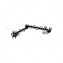 O=C(CCN1C(=O)C=CC1=O)NCCOCCOCCOCCOCc1cn(CCOCCOCCC(=O)Oc2c(F)c(F)c(F)c(F)c2F)nn1